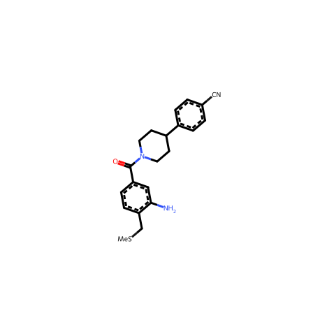 CSCc1ccc(C(=O)N2CCC(c3ccc(C#N)cc3)CC2)cc1N